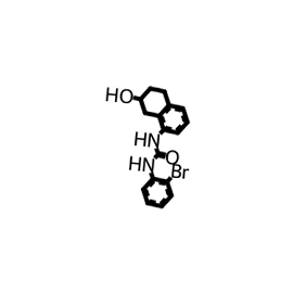 O=C(Nc1ccccc1Br)Nc1cccc2c1CC(O)CC2